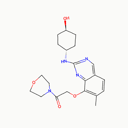 Cc1ccc2cnc(N[C@H]3CC[C@H](O)CC3)nc2c1OCC(=O)N1CCOCC1